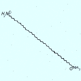 NC(=O)CCCCCCCCCCCC=CCCCCCCCCCCCCCCCCCCC=CCCCCCCCCCCCC(N)=O